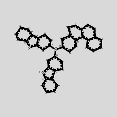 c1ccc2c(c1)ccc1ccc3cc(N(c4ccc5c(c4)oc4ccccc45)c4ccc5c(c4)oc4ccccc45)ccc3c12